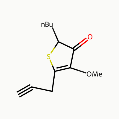 C#CCC1=C(OC)C(=O)C(CCCC)S1